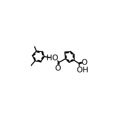 Cc1cc(C)cc(C)c1.O=C(O)c1cccc(C(=O)O)c1